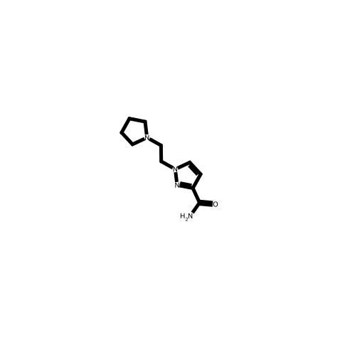 NC(=O)c1ccn(CCN2CCCC2)n1